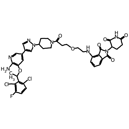 CC(Oc1cc(-c2cnn(C3CCN(C(=O)CCOCCNc4cccc5c4C(=O)N(C4CCC(=O)NC4=O)C5=O)CC3)c2)cnc1N)c1c(Cl)ccc(F)c1Cl